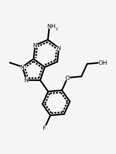 Cn1nc(-c2cc(F)ccc2OCCO)c2cnc(N)nc21